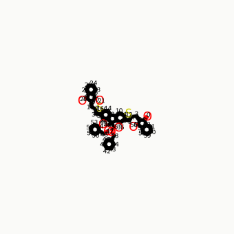 O=C1C(=Cc2cc3cc4c(cc3s2)-c2cc3sc(C=C5C(=O)c6ccccc6C5=O)cc3cc2C4(C(=O)OCc2ccccc2)C(=O)OCc2ccccc2)C(=O)c2ccccc21